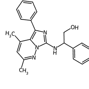 Cc1cc(C)c2c(-c3ccccc3)nc(NC(CO)c3ccccc3)n2n1